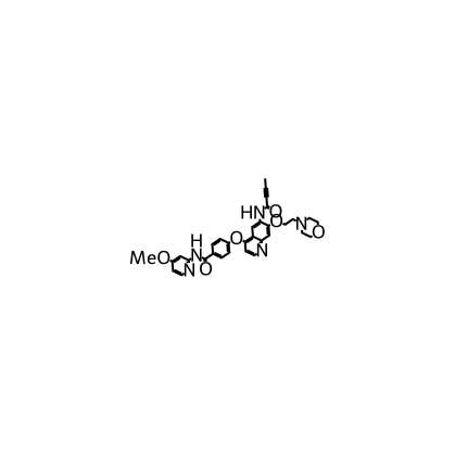 CC#CC(=O)Nc1cc2c(Oc3ccc(C(=O)Nc4cc(OC)ccn4)cc3)ccnc2cc1OCCN1CCOCC1